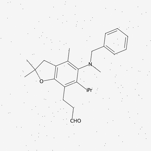 Cc1c2c(c(CCC=O)c(C(C)C)c1N(C)Cc1ccccc1)OC(C)(C)C2